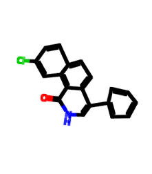 O=c1[nH]cc(-c2ccccc2)c2ccc3ccc(Cl)cc3c12